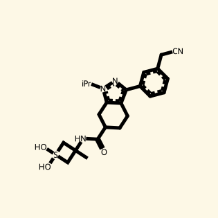 CC(C)n1nc(-c2cccc(CC#N)c2)c2c1CC(C(=O)NC1(C)CS(O)(O)C1)CC2